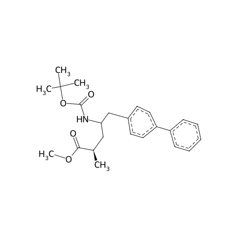 COC(=O)[C@H](C)CC(Cc1ccc(-c2ccccc2)cc1)NC(=O)OC(C)(C)C